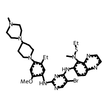 CCSN(C)c1c(Nc2nc(Nc3cc(CC)c(N4CCC(N5CCN(C)CC5)CC4)cc3OC)ncc2Br)ccc2nccnc12